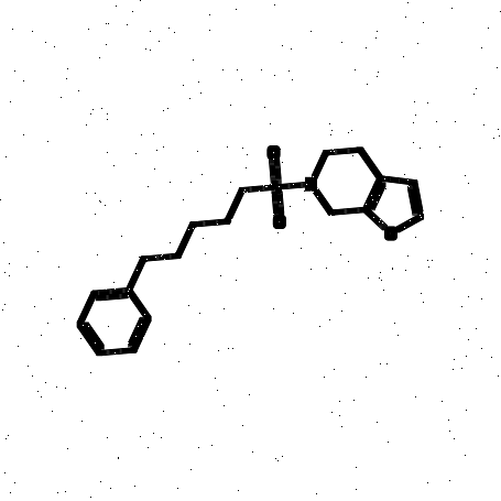 O=S(=O)(CCCCCc1ccccc1)N1CCc2ccoc2C1